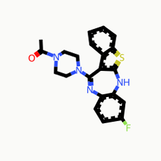 CC(=O)N1CCN(C2=Nc3ccc(F)cc3Nc3sc4ccccc4c32)CC1